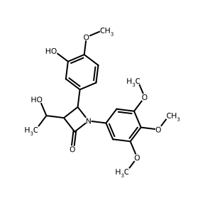 COc1ccc(C2C(C(C)O)C(=O)N2c2cc(OC)c(OC)c(OC)c2)cc1O